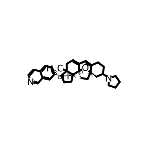 CC12CC=C3C=C4CCC(N5CCCC5)C[C@]45CC[C@]3(O5)[C@@H]1CC[C@@H]2c1ccc2ccncc2c1